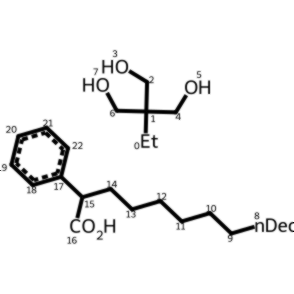 CCC(CO)(CO)CO.CCCCCCCCCCCCCCCCC(C(=O)O)c1ccccc1